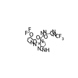 O=C(c1nnc(-c2cnn(C(F)(F)F)c2)o1)N1CCc2[nH]cnc2[C@@H]1c1cc2c(OC(F)F)cccn2n1